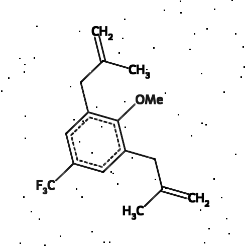 C=C(C)Cc1cc(C(F)(F)F)cc(CC(=C)C)c1OC